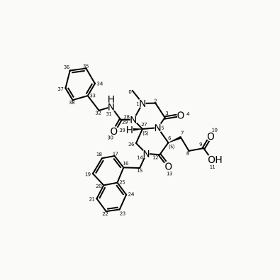 CN1CC(=O)N2[C@@H](CCC(=O)O)C(=O)N(Cc3cccc4ccccc34)C[C@@H]2N1C(=O)NCc1ccccc1